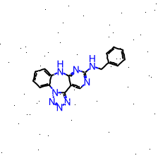 c1ccc(CNc2ncc3c(n2)Nc2ccccc2-n2nnnc2-3)cc1